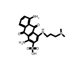 CN(C)CCCNc1cc(S(=O)(=O)O)c(N)c2c1C(=O)c1c(N)cccc1C2=O